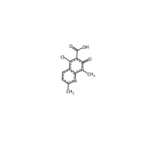 Cc1ccc2c(Cl)c(C(=O)O)c(=O)n(C)c2n1